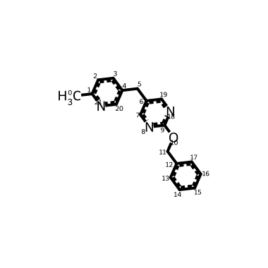 Cc1ccc(Cc2cnc(OCc3ccccc3)nc2)cn1